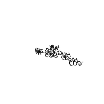 Cn1nnnc1SCC1=C(C(=O)[O-])N2C(=O)[C@@H](NC(=O)Cc3ccc(NC(=O)OC[C@H](N)C(=O)[O-])cc3)[C@@H]2SC1.[Na+].[Na+]